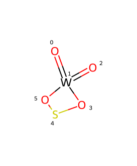 [O]=[W]1(=[O])[O]S[O]1